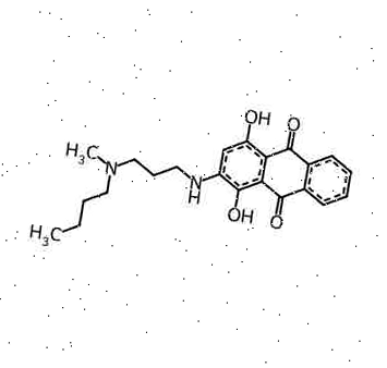 CCCCN(C)CCCNc1cc(O)c2c(c1O)C(=O)c1ccccc1C2=O